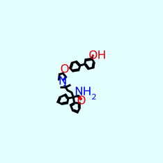 CC(C)(CCC(C(N)=O)(c1ccccc1)c1ccccc1)N1CC[C@H](Oc2ccc(-c3cccc(O)c3)cc2)C1